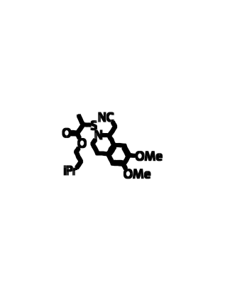 COc1cc2c(cc1OC)C(CC#N)N(SC(C)C(=O)OCCC(C)C)CC2